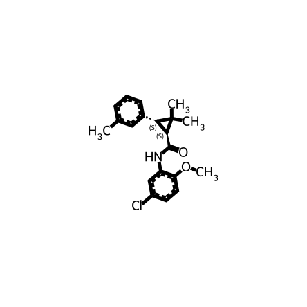 COc1ccc(Cl)cc1NC(=O)[C@H]1[C@H](c2cccc(C)c2)C1(C)C